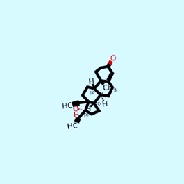 C#CC12CC[C@H]3[C@@H](CCC4=CC(=O)CCC43C)[C@@H]1CC[C@@]2(O)C#C